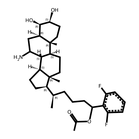 CC(=O)OC(CCC[C@@H](C)[C@H]1CC[C@H]2[C@@H]3C(N)C[C@H]4[C@@H](O)[C@@H](O)CC[C@]4(C)[C@H]3CC[C@]12C)c1c(F)cccc1F